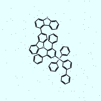 c1ccc(-c2cccc([Si](c3ccccc3)(c3ccccc3)c3cc(-c4ccccc4)c(-n4c5ccccc5c5cc(-c6cccc7sc8ccccc8c67)ccc54)c(-c4ccccc4)c3)c2)cc1